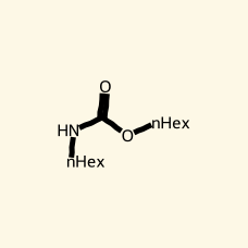 [CH2]CCCCCNC(=O)OCCCCCC